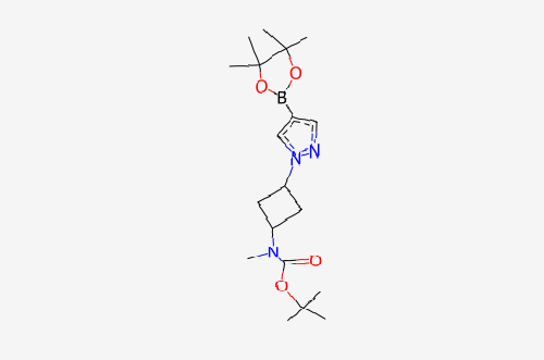 CN(C(=O)OC(C)(C)C)C1CC(n2cc(B3OC(C)(C)C(C)(C)O3)cn2)C1